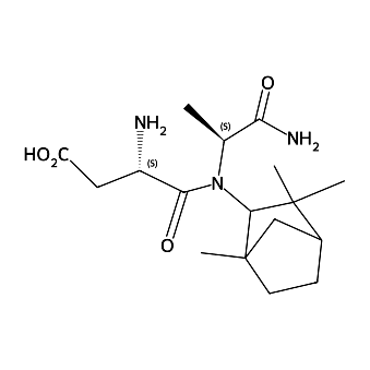 C[C@@H](C(N)=O)N(C(=O)[C@@H](N)CC(=O)O)C1C2(C)CCC(C2)C1(C)C